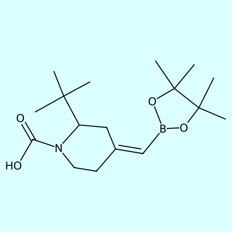 CC(C)(C)C1C/C(=C\B2OC(C)(C)C(C)(C)O2)CCN1C(=O)O